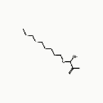 C=C(C)C(O)OCCCCCCCCC